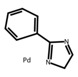 C1=NC(c2ccccc2)=NC1.[Pd]